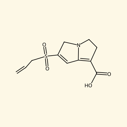 C=CCS(=O)(=O)C1=CC2=C(C(=O)O)CCN2C1